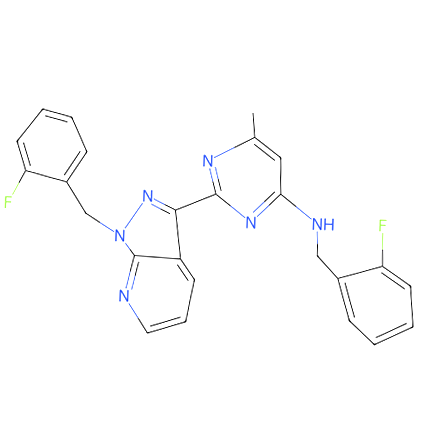 Cc1cc(NCc2ccccc2F)nc(-c2nn(Cc3ccccc3F)c3ncccc23)n1